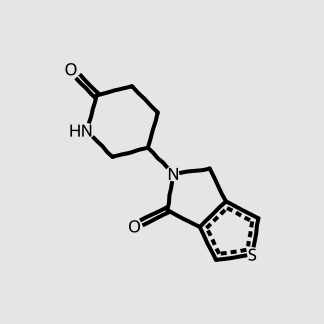 O=C1CCC(N2Cc3cscc3C2=O)CN1